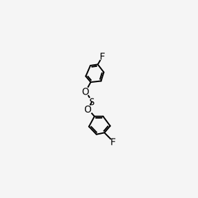 Fc1ccc(OSOc2ccc(F)cc2)cc1